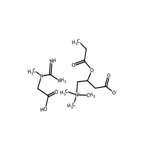 CCC(=O)OC(CC(=O)[O-])C[N+](C)(C)C.CN(CC(=O)O)C(=N)N